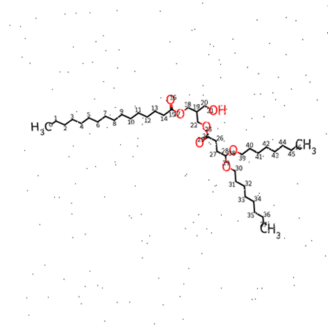 CCCCCCCCCCCCCCCC(=O)OCC(CO)COC(=O)CCC(OCCCCCCCC)OCCCCCCCC